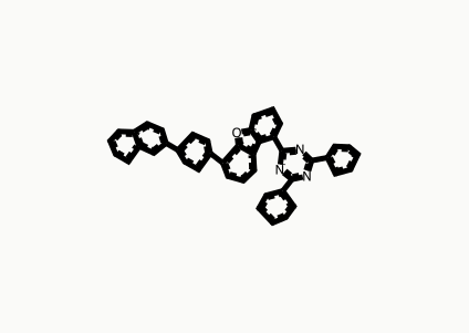 c1ccc(-c2nc(-c3ccccc3)nc(-c3cccc4oc5c(-c6ccc(-c7ccc8ccccc8c7)cc6)cccc5c34)n2)cc1